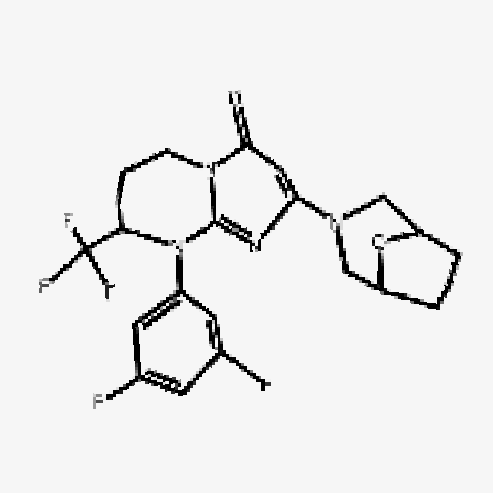 O=c1cc(N2CC3CCC(C2)O3)nc2n1CCC(C(F)(F)F)N2c1cc(F)cc(F)c1